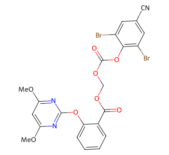 COc1cc(OC)nc(Oc2ccccc2C(=O)OCOC(=O)Oc2c(Br)cc(C#N)cc2Br)n1